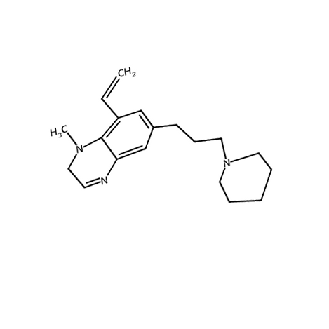 C=Cc1cc(CCCN2CCCCC2)cc2c1N(C)CC=N2